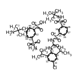 CC(C)(C)N.CC(C)c1cc(Cl)cc(C(C)C)c1NC(=O)NS(=O)(=O)c1cccc(S(=O)(=O)NC(C)(C)C)c1.NS(=O)(=O)c1cccc(S(=O)(=O)O)c1